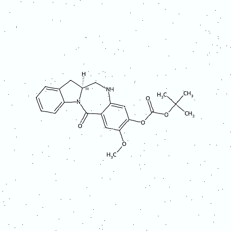 COc1cc2c(cc1OC(=O)OC(C)(C)C)NC[C@@H]1Cc3ccccc3N1C2=O